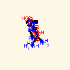 CC[C@H](C)[C@H](NC(=O)[C@H](Cc1ccccc1)NC(=O)[C@@H](NC(=O)[C@H](CC(=O)O)NC(=O)[C@H](C)NC(=O)[C@H](CO)NC(=O)[C@H](CCCNC(=N)N)NC(=O)[C@H](CCCNC(=N)N)NC(=O)[C@H](CCCCN)NC)[C@@H](C)CC)C(=O)O